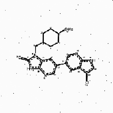 CO[C@H]1CC[C@@H](Cn2c(=O)[nH]c3ncc(-c4cnc5[nH]cc(Cl)c5c4)cc32)CC1